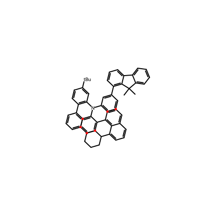 CC(C)(C)c1ccc(-c2ccccc2)c(N(c2cccc(-c3cccc4c3C(C)(C)c3ccccc3-4)c2)c2ccccc2-c2cccc3cccc(C4CCCCC4)c23)c1